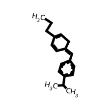 CCCC1=CCC(=Cc2ccc(C(C)C)cc2)C=C1